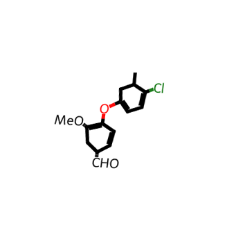 COC1=C(OC2=CC=C(Cl)C(C)C2)C=CC(C=O)C1